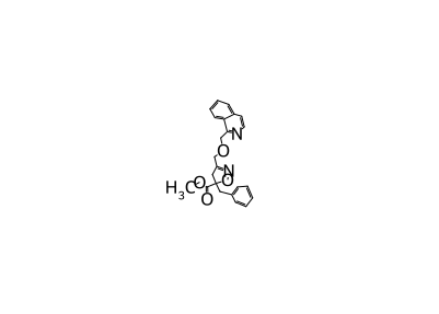 COC(=O)C1(Cc2ccccc2)CC(COCc2nccc3ccccc23)=NO1